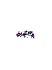 CCNC(=O)c1ccc(S(=O)(=O)Nc2cc(F)c(C(=O)N[C@@H](Cc3ccc(-n4c(=O)ccn(C)c4=O)cc3)C(=O)O)c(F)c2)cn1